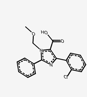 COCn1c(-c2ccccc2)nc(-c2ccccc2Cl)c1C(=O)O